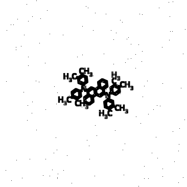 Cc1ccc(N(c2ccc(C)c(C)c2)c2cc3c(cc(N(c4ccc(C)c(C)c4)c4ccc(C)c(C)c4)c4ccccc43)c3c2=CCCC=3)cc1C